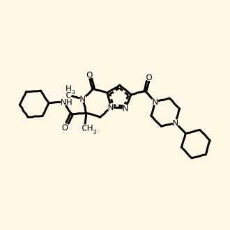 CN1C(=O)c2cc(C(=O)N3CCN(C4CCCCC4)CC3)nn2CC1(C)C(=O)NC1CCCCC1